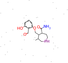 CC1CPCCC(C(N)=O)C1COc1cccc(O)c1C=O